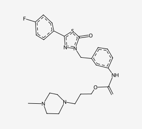 C=C(Nc1cccc(Cn2nc(-c3ccc(F)cc3)sc2=O)c1)OCCCN1CCN(C)CC1